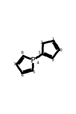 C1=CCC(p2cccc2)=C1